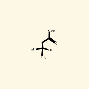 CCCC(C)(C)CC(=O)OC